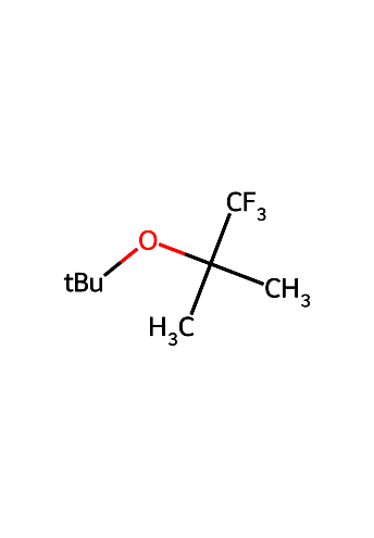 CC(C)(C)OC(C)(C)C(F)(F)F